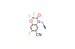 C#CCN1C(=O)C(F)(F)Oc2cc(F)c(C#N)cc21